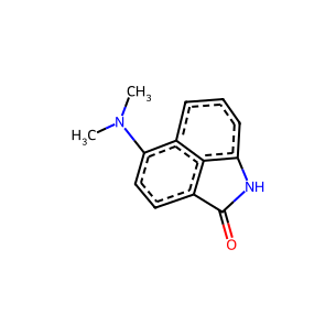 CN(C)c1ccc2c3c(cccc13)NC2=O